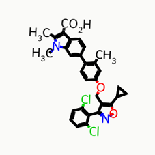 Cc1cc(OCc2c(-c3c(Cl)cccc3Cl)noc2C2CC2)ccc1-c1ccc2c(C(=O)O)c(C)n(C)c2c1